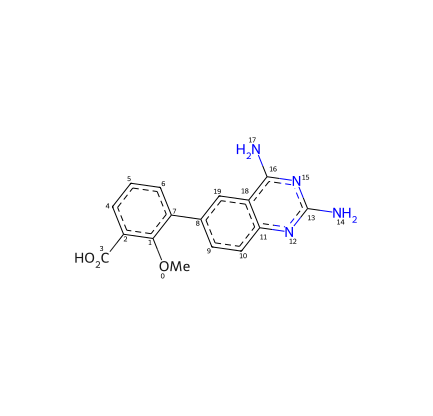 COc1c(C(=O)O)cccc1-c1ccc2nc(N)nc(N)c2c1